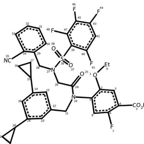 CCOc1cc(C(=O)O)c(F)cc1N(Cc1cc(C2CC2)cc(C2CC2)c1)C(=O)CN(Cc1ccccc1C#N)S(=O)(=O)c1c(F)cc(F)c(F)c1F